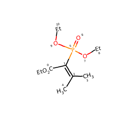 CCOC(=O)C(=C(C)C)P(=O)(OCC)OCC